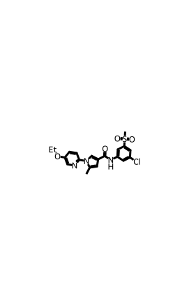 CCOc1ccc(-n2cc(C(=O)Nc3cc(Cl)cc(S(C)(=O)=O)c3)cc2C)nc1